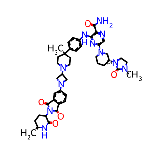 C=C1CCC(N2C(=O)c3ccc(N4CC(N5CCC(C)(c6ccc(Nc7nc(N8CCC[C@H](N9CCN(C)C9=O)C8)cnc7C(N)=O)cc6)CC5)C4)cc3C2=O)C(=O)N1